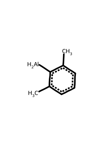 Cc1cccc(C)[c]1[AlH2]